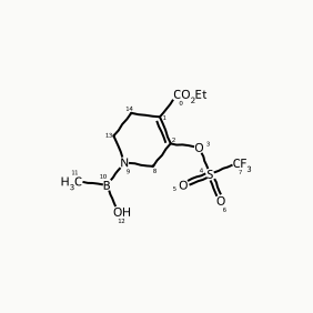 CCOC(=O)C1=C(OS(=O)(=O)C(F)(F)F)CN(B(C)O)CC1